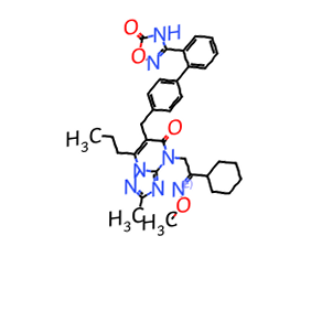 CCCc1c(Cc2ccc(-c3ccccc3-c3noc(=O)[nH]3)cc2)c(=O)n(C/C(=N/OC)C2CCCCC2)c2nc(C)nn12